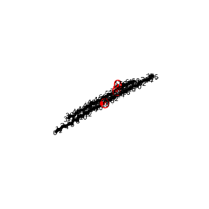 CCCCCCCCC=CCCCCCCCCOCCCCCCCCC=CCCCCCCCC.CCCCCCCCCCCCCCCCCCOC(=O)CCCCCC